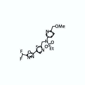 CCS(=O)(=O)N(Cc1ncc(-c2nnc(C(F)F)o2)s1)c1ccc(COC)nc1